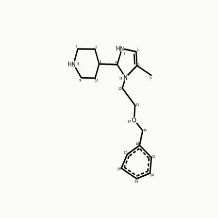 CC1=CNC(C2CCNCC2)N1CCOCc1ccccc1